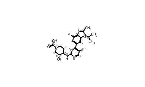 Cc1nc2c(F)cc(-c3nc(NC4CCN(C(=O)O)C[C@H]4O)ncc3F)cc2n1C(C)C